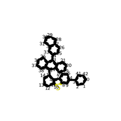 c1ccc(-c2ccc3c(c2)sc2cccc(-c4c5ccccc5c(-c5ccc6ccccc6c5)c5ccccc45)c23)cc1